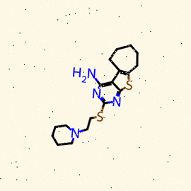 Nc1nc(SCCN2CCCCC2)nc2sc3c(c12)CCCCC3